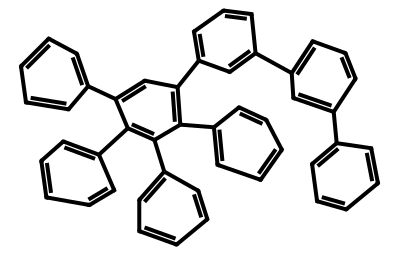 c1ccc(-c2cccc(-c3cccc(-c4cc(-c5ccccc5)c(-c5ccccc5)c(-c5ccccc5)c4-c4ccccc4)c3)c2)cc1